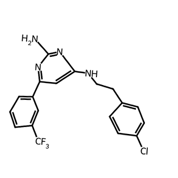 Nc1nc(NCCc2ccc(Cl)cc2)cc(-c2cccc(C(F)(F)F)c2)n1